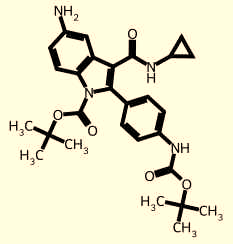 CC(C)(C)OC(=O)Nc1ccc(-c2c(C(=O)NC3CC3)c3cc(N)ccc3n2C(=O)OC(C)(C)C)cc1